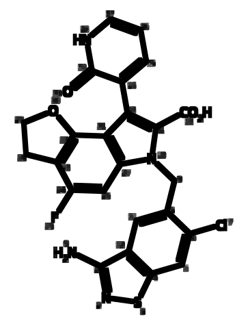 Nc1nsc2cc(Cl)c(Cn3c(C(=O)O)c(-c4ccc[nH]c4=O)c4c5c(c(F)cc43)CCO5)cc12